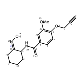 C#CCOc1ccc(C(=O)NC2CCCC/C2=N/O)cc1OC